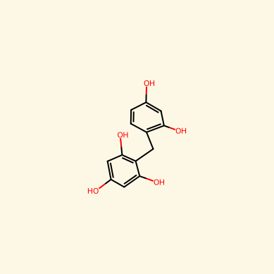 Oc1ccc(Cc2c(O)cc(O)cc2O)c(O)c1